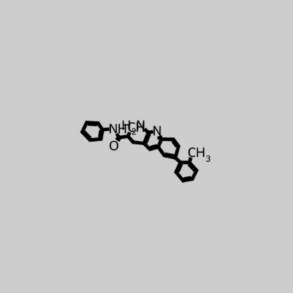 Cc1ccccc1-c1ccc2nc(N)c(CC(C)C(=O)Nc3ccccc3)cc2c1